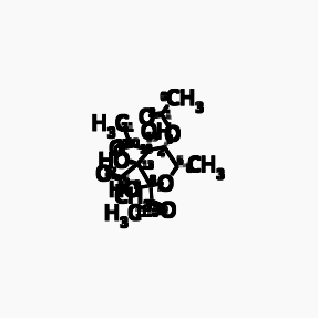 CC(=O)O[C@@H]1[C@H](C)OC(O)(C(C)=O)[C@](O)(C(C)=O)[C@@]1(O)C(C)=O